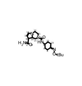 CC(C)(C)ON=C1CCC(NC(=O)N2CCN3C=CC(C(N)=O)C3C2)CC1